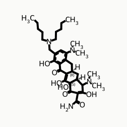 CCCCCN(CCCCC)Cc1cc(N(C)C)c2c(c1O)C(=O)C1=C(O)[C@]3(O)C(=O)C(C(N)=O)=C(O)C(N(C)C)[C@@H]3C[C@@H]1C2